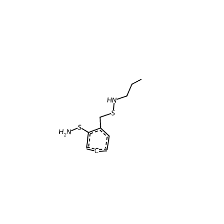 CCCNSCc1ccccc1SN